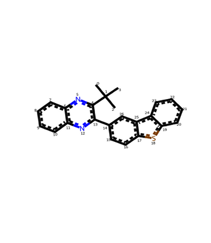 CC(C)(C)c1nc2ccccc2nc1-c1ccc2sc3ccccc3c2c1